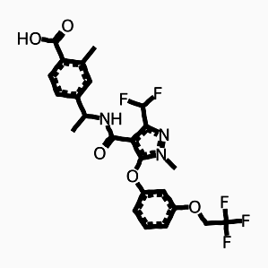 Cc1cc(C(C)NC(=O)c2c(C(F)F)nn(C)c2Oc2cccc(OCC(F)(F)F)c2)ccc1C(=O)O